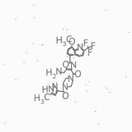 COc1ccc(-c2nc(C(=O)N3CCN(C(=O)c4cc(C)[nH]n4)CC3)c(CN)o2)c2ccc(C(F)(F)F)nc12